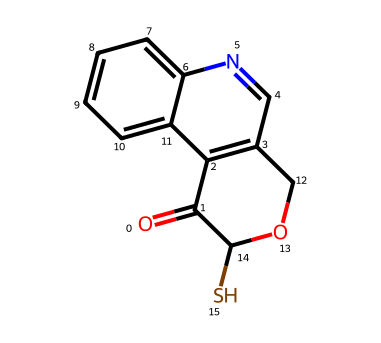 O=C1c2c(cnc3ccccc23)COC1S